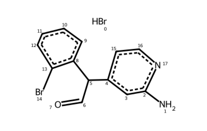 Br.Nc1cc(C(C=O)c2ccccc2Br)ccn1